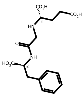 O=C(O)CC[C@H](NCC(=O)N[C@@H](Cc1ccccc1)C(=O)O)C(=O)O